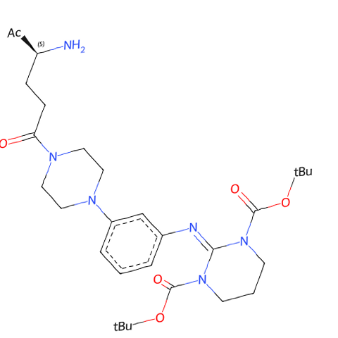 CC(=O)[C@@H](N)CCC(=O)N1CCN(c2cccc(N=C3N(C(=O)OC(C)(C)C)CCCN3C(=O)OC(C)(C)C)c2)CC1